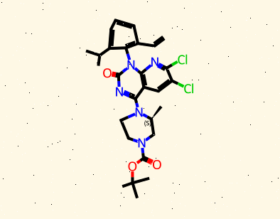 C=Cc1cccc(C(C)C)c1-n1c(=O)nc(N2CCN(C(=O)OC(C)(C)C)C[C@@H]2C)c2cc(Cl)c(Cl)nc21